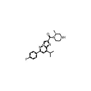 CC(C)c1cc(-c2ccc(F)cc2)nn2cc(C(=O)N3CCNC[C@@H]3C)nc12